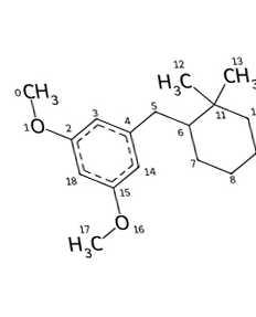 COc1cc(CC2CCCCC2(C)C)cc(OC)c1